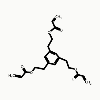 C=CC(=O)OCCc1cc(CCOC(=O)C=C)cc(CCOC(=O)C=C)c1